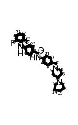 O=C(Nc1ccc(CN2CCC(N3CCCCC3)CC2)cc1)c1ccc(Nc2c(F)cccc2F)cc1